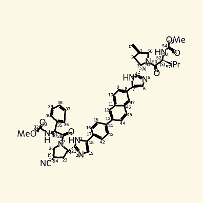 C=C1C[C@@H](c2ncc(-c3ccc4cc(-c5ccc(-c6cnc([C@@H]7C[C@H](C#N)CN7C(=O)[C@H](NC(=O)OC)c7ccccc7)[nH]6)cc5)ccc4c3)[nH]2)N(C(=O)[C@@H](NC(=O)OC)C(C)C)C1